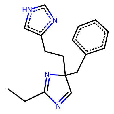 [CH2]CC1=NC(CCc2c[nH]cn2)(Cc2ccccc2)C=N1